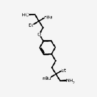 CCCCC(CC)(CN)CCC1C=CC(OCC(CC)(CO)CCCC)CC1